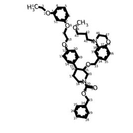 CCOc1cccc(OCCOc2ccc(C3CCN(C(=O)OCc4ccccc4)CC3OCc3ccc4c(c3)N(CCCOC)CCO4)cc2)c1